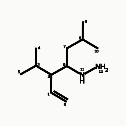 C=CC(C(C)C)C(CC(C)C)NN